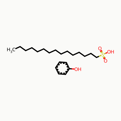 CCCCCCCCCCCCCCCS(=O)(=O)O.Oc1ccccc1